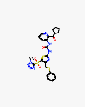 Cn1nnnc1S(=O)(=O)c1sc(NC(=O)Nc2cccnc2C(=O)C2CCCC2)nc1CSc1ccccc1